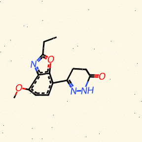 CCc1nc2c(OC)ccc(C3=NNC(=O)CC3)c2o1